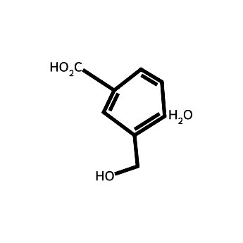 O.O=C(O)c1cccc(CO)c1